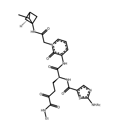 CCNC(=O)C(=O)CC[C@H](NC(=O)c1cnc(NC(C)=O)s1)C(=O)Nc1cccn(CC(=O)NC23CC(C2)[C@@H]3C)c1=O